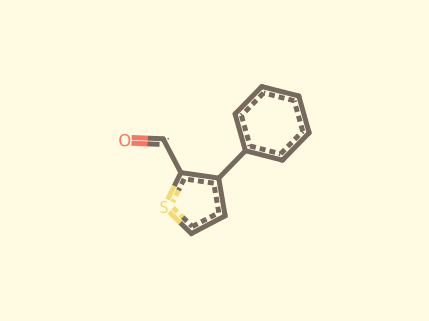 O=[C]c1sccc1-c1ccccc1